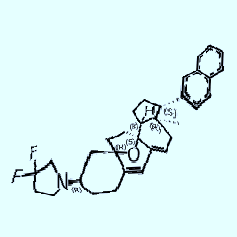 C[C@]12CC=C3C=C4CC[C@@H](N5CCC(F)(F)C5)C[C@]45CC[C@]3(O5)[C@@H]1CC[C@@H]2c1ccc2ccccc2c1